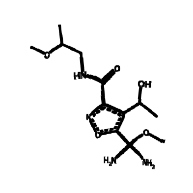 COC(C)CNC(=O)c1noc(C(N)(N)OC)c1C(C)O